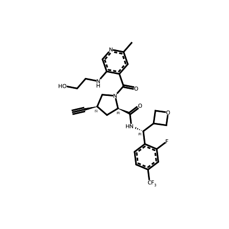 C#C[C@@H]1C[C@H](C(=O)N[C@@H](c2ccc(C(F)(F)F)cc2F)C2COC2)N(C(=O)c2cc(C)ncc2NCCO)C1